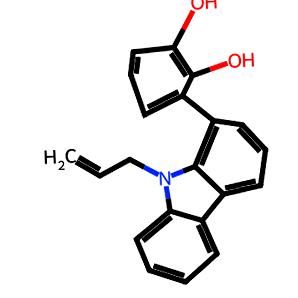 C=CCn1c2ccccc2c2cccc(-c3cccc(O)c3O)c21